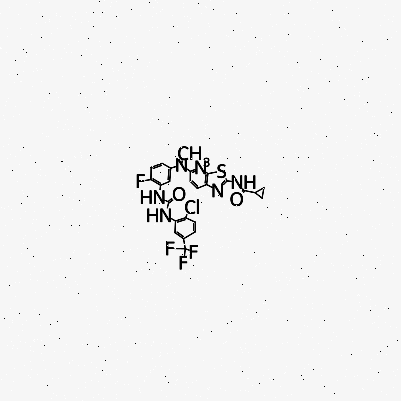 CN(c1ccc(F)c(NC(=O)Nc2cc(C(F)(F)F)ccc2Cl)c1)c1ccc2nc(NC(=O)C3CC3)sc2n1